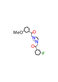 COc1cccc(C(=O)CN2C=CN(CC(=O)c3cccc(F)c3)C2)c1